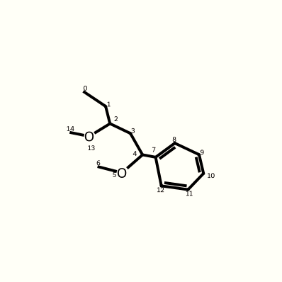 CCC(CC(OC)c1ccccc1)OC